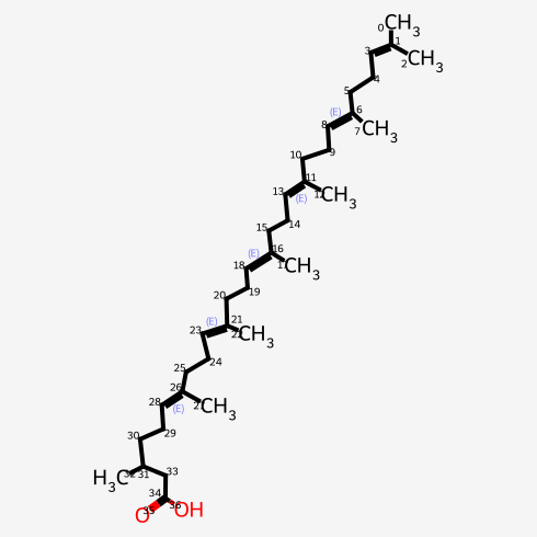 CC(C)=CCC/C(C)=C/CC/C(C)=C/CC/C(C)=C/CC/C(C)=C/CC/C(C)=C/CCC(C)CC(=O)O